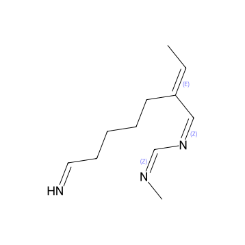 C/C=C(/C=N\C=N/C)CCCCC=N